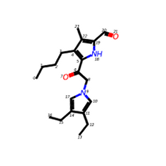 CCCCc1c(C(=O)Cn2cc(CC)c(CC)c2)[nH]c(C=O)c1C